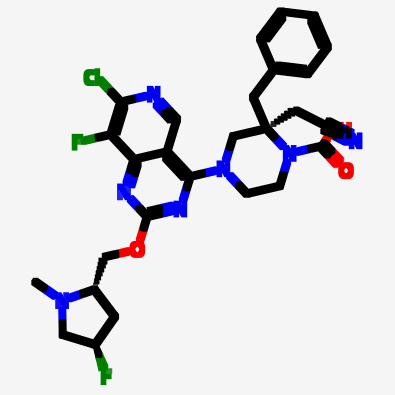 CN1C[C@H](F)C[C@H]1COc1nc(N2CCN(C(=O)O)[C@](CC#N)(Cc3ccccc3)C2)c2cnc(Cl)c(F)c2n1